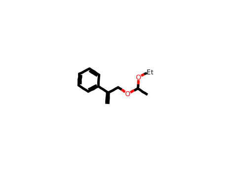 C=C(COC(C)OCC)c1ccccc1